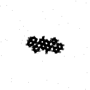 Cc1cc(N(C2=CC=CC3(C)C=CC=CC23)c2ccccn2)c2ccc3c(C)cc(N(c4ccccn4)c4cccc5c4C(C)CC=C5)c4ccc1c2c34